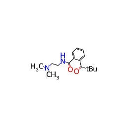 CN(C)CCNC(=O)c1ccccc1C(=O)C(C)(C)C